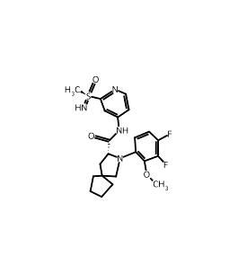 COc1c(N2CC3(CCCC3)C[C@@H]2C(=O)Nc2ccnc([S@](C)(=N)=O)c2)ccc(F)c1F